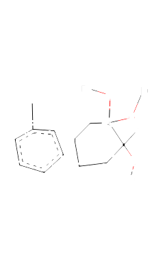 CCOC1(CC)CCCC[Si]1(OCC)OCC.Cc1ccccc1